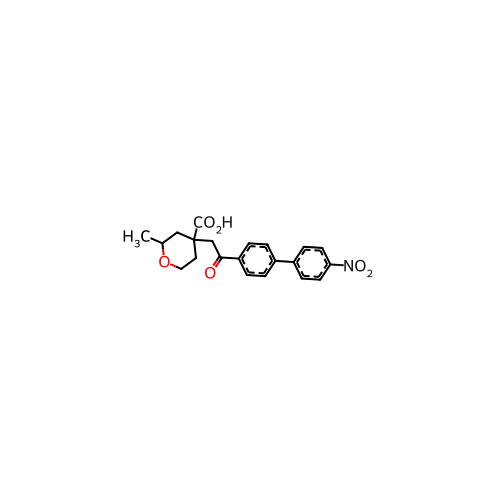 CC1CC(CC(=O)c2ccc(-c3ccc([N+](=O)[O-])cc3)cc2)(C(=O)O)CCO1